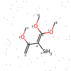 C=C(OC)C([SiH3])=C(OC)OC